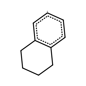 [c]1ccc2c(c1)CCCC2